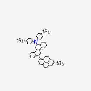 CC(C)(C)c1ccc(N(c2ccc(C(C)(C)C)cc2)c2cc3c4ccccc4c(-c4ccc5ccc6cc(C(C)(C)C)cc7ccc4c5c67)cc3c3ccccc23)cc1